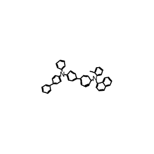 Cc1ccccc1N(c1cccc2ccccc12)C1C#CC=C(c2ccc(N(c3ccccc3)c3ccc(-c4ccccc4)cc3)cc2)C=C1